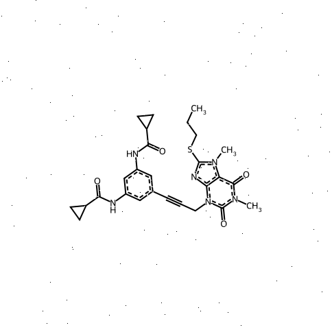 CCCSc1nc2c(c(=O)n(C)c(=O)n2CC#Cc2cc(NC(=O)C3CC3)cc(NC(=O)C3CC3)c2)n1C